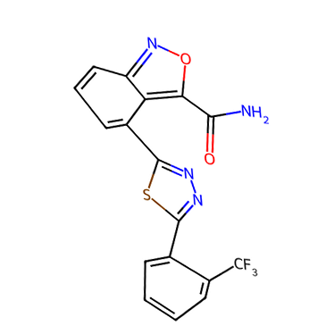 NC(=O)c1onc2cccc(-c3nnc(-c4ccccc4C(F)(F)F)s3)c12